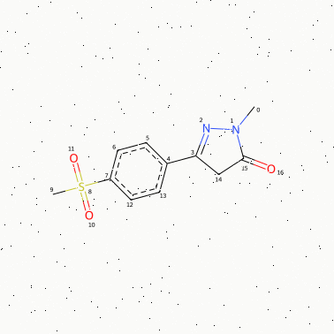 CN1N=C(c2ccc(S(C)(=O)=O)cc2)CC1=O